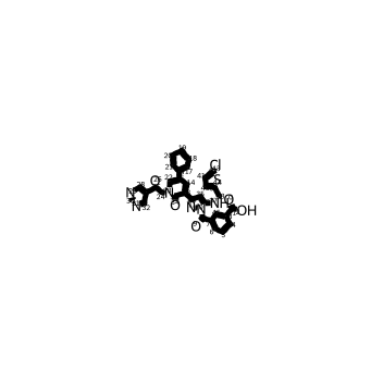 O=C(O)c1cccc(C(=O)n2nc(-c3cc(-c4ccccc4)cn(CC(=O)c4cncnc4)c3=O)cc2NCc2ccc(Cl)s2)c1